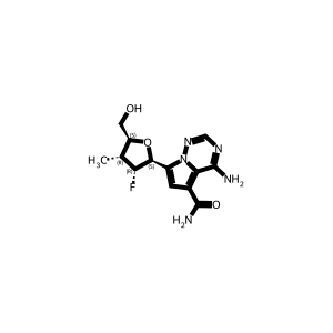 C[C@H]1[C@@H](F)[C@H](c2cc(C(N)=O)c3c(N)ncnn23)O[C@@H]1CO